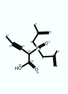 C=C(C)CP(=O)(CC(=C)C)C(C#CC)C(=O)O